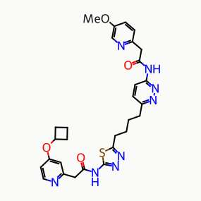 COc1ccc(CC(=O)Nc2ccc(CCCCc3nnc(NC(=O)Cc4cc(OC5CCC5)ccn4)s3)nn2)nc1